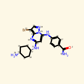 NC(=O)c1ccc(Nc2cc(N[C@H]3CC[C@@H](N)CC3)nc3c(Br)cnn23)cc1